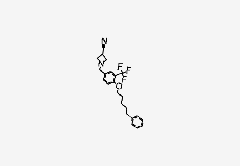 N#CC1CN(Cc2ccc(OCCCCCc3ccccc3)c(C(F)(F)F)c2)C1